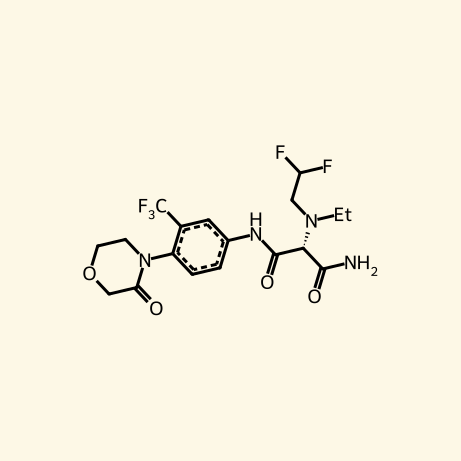 CCN(CC(F)F)[C@H](C(N)=O)C(=O)Nc1ccc(N2CCOCC2=O)c(C(F)(F)F)c1